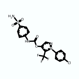 NS(=O)(=O)c1ccc(NC(=O)Oc2cnn(-c3ccc(Cl)cc3)c2C(F)(F)F)cc1